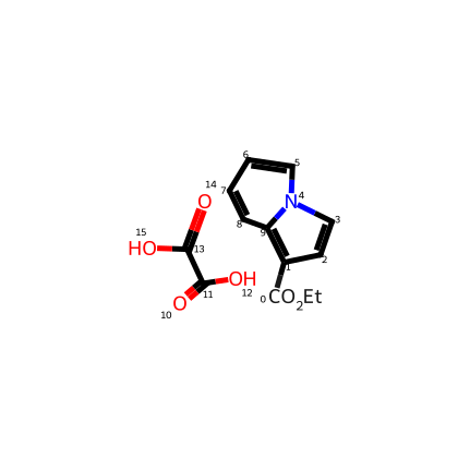 CCOC(=O)c1ccn2ccccc12.O=C(O)C(=O)O